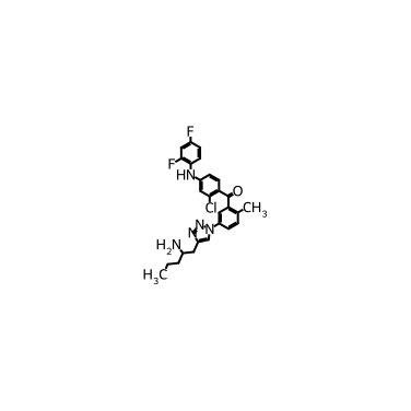 CCCC(N)Cc1cn(-c2ccc(C)c(C(=O)c3ccc(Nc4ccc(F)cc4F)cc3Cl)c2)nn1